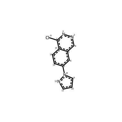 Clc1nncc2cc(-n3cccn3)ccc12